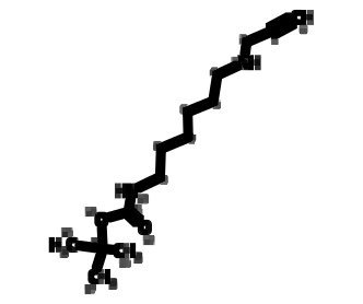 C#CCNCCCCCCNC(=O)OC(C)(C)C